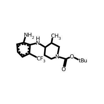 CC1CN(C(=O)OC(C)(C)C)CCC1Nc1c(N)cccc1C(F)(F)F